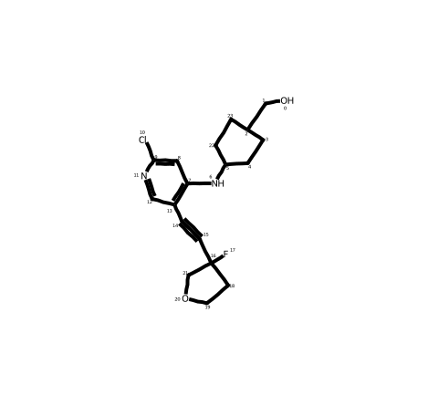 OCC1CCC(Nc2cc(Cl)ncc2C#CC2(F)CCOC2)CC1